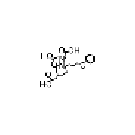 O=C(O)CC1CCC(CCCOc2ccccc2)N(N(CC(=O)O)CC(=O)O)CC1